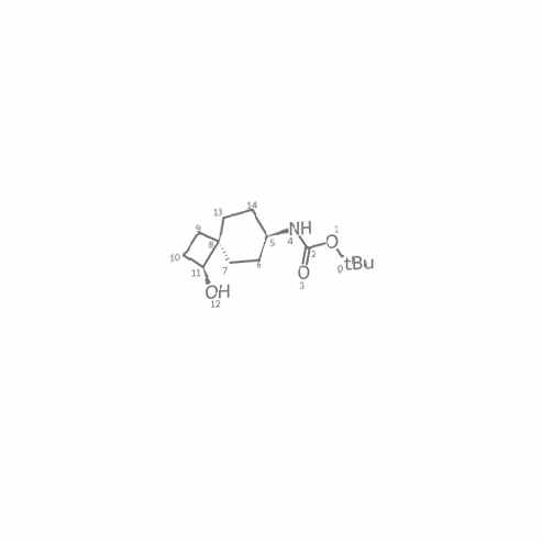 CC(C)(C)OC(=O)N[C@H]1CC[C@]2(CC[C@@H]2O)CC1